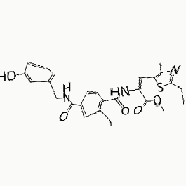 CCc1nc(C)c(C=C(NC(=O)c2ccc(C(=O)NCc3cccc(O)c3)cc2C)C(=O)OC)s1